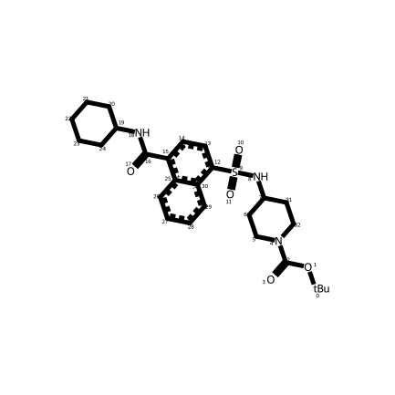 CC(C)(C)OC(=O)N1CCC(NS(=O)(=O)c2ccc(C(=O)NC3CCCCC3)c3ccccc23)CC1